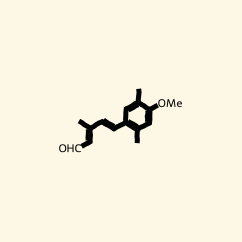 COc1cc(C)c(C=CC(C)=CC=O)cc1C